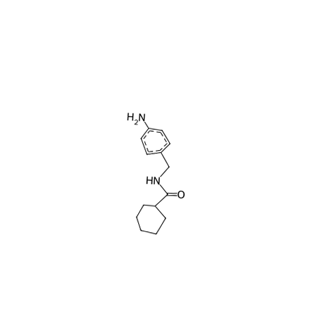 Nc1ccc(CNC(=O)C2CCCCC2)cc1